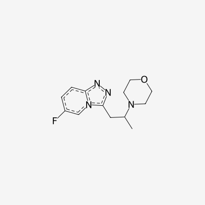 CC(Cc1nnc2ccc(F)cn12)N1CCOCC1